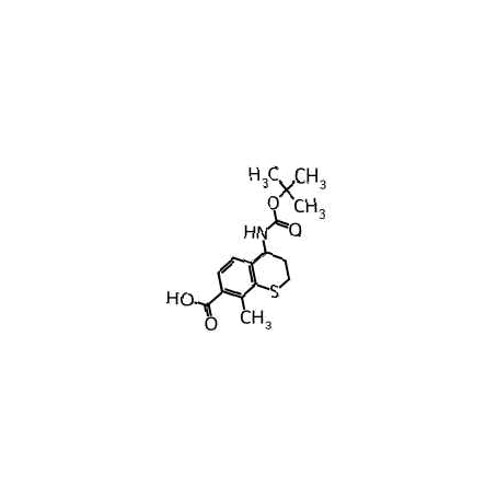 Cc1c(C(=O)O)ccc2c1SCCC2NC(=O)OC(C)(C)C